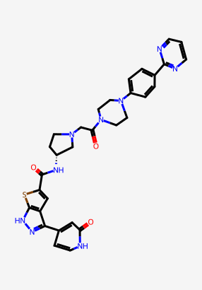 O=C(N[C@@H]1CCN(CC(=O)N2CCN(c3ccc(-c4ncccn4)cc3)CC2)C1)c1cc2c(-c3cc[nH]c(=O)c3)n[nH]c2s1